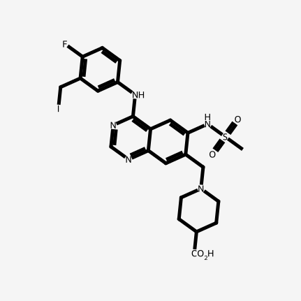 CS(=O)(=O)Nc1cc2c(Nc3ccc(F)c(CI)c3)ncnc2cc1CN1CCC(C(=O)O)CC1